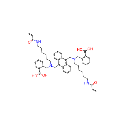 C=CC(=O)NCCCCCCN(Cc1ccccc1B(O)O)Cc1c2ccccc2c(CN(CCCCCCNC(=O)C=C)Cc2ccccc2B(O)O)c2ccccc12